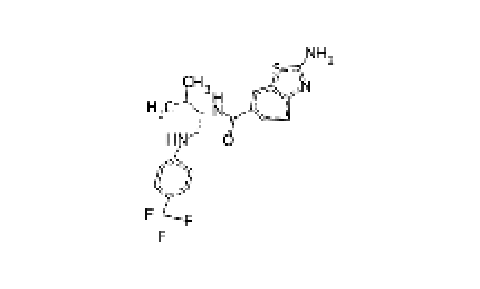 CC(C)[C@@H](CNc1ccc(C(F)(F)F)cc1)NC(=O)c1ccc2nc(N)sc2c1